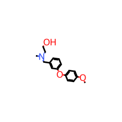 COc1ccc(Oc2cccc(CN(C)CCO)c2)cc1